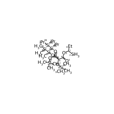 CCC([SiH3])OC(=O)C(O[Si](C)(C)C)=C(O[Si](C)(C)C)O[Si]1(C(C)C)[Si](C)(C)[Si](C)(C)[Si]1(C(C)C)C(C)C